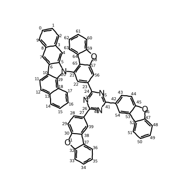 c1ccc2cc3c(cc2c1)c1ccc2ccccc2c1n3-c1cc(-c2nc(-c3ccc4oc5ccccc5c4c3)nc(-c3ccc4oc5ccccc5c4c3)n2)cc2oc3ccccc3c12